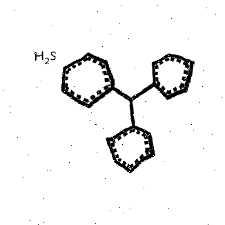 S.c1ccc(C(c2ccccc2)c2ccccc2)cc1